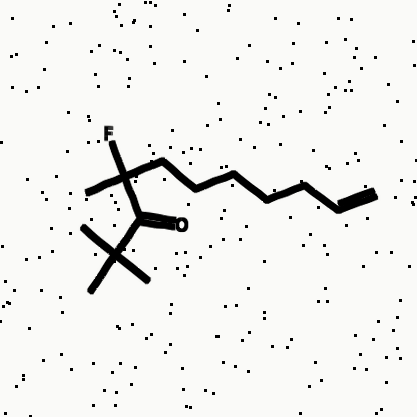 C=CCCCCCC(C)(F)C(=O)C(C)(C)C